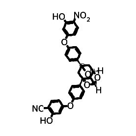 N#Cc1ccc(Oc2ccc([C@]34C[C@H]5C[C@@](c6ccc(Oc7ccc([N+](=O)[O-])c(O)c7)cc6)(C3)O[C@H](O5)O4)cc2)cc1O